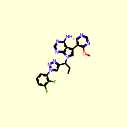 CCC(c1cn(-c2cccc(F)c2F)nn1)n1cc(-c2cncnc2OC)c2c(N)ncnc21